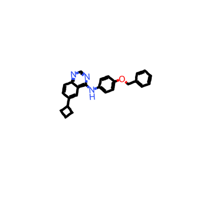 c1ccc(COc2ccc(Nc3ncnc4ccc(C5CCC5)cc34)cc2)cc1